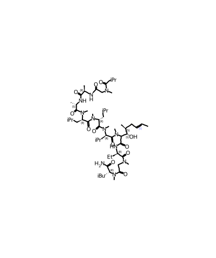 C/C=C/C[C@H](C)[C@H](O)C(C(=O)N[C@H](CC)C(=O)N(C)CC(=O)N(C)[C@@H](C(N)=O)C(C)CC)N(C)C(=O)[C@@H](C(C)C)N(C)C(=O)[C@@H](CC(C)C)N(C)C(=O)[C@@H](CC(C)C)N(C)C(=O)[C@H](C)NC(=O)[C@@H](C)NC(=O)CN(C)C(=O)C(C)C